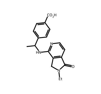 CCN1Cc2c(ccnc2NC(C)c2ccc(C(=O)O)cc2)C1=O